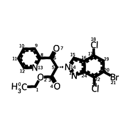 CCOC(=O)[C@H](C(=O)c1ccccn1)n1cc2c(Cl)cc(Br)c(Cl)c2n1